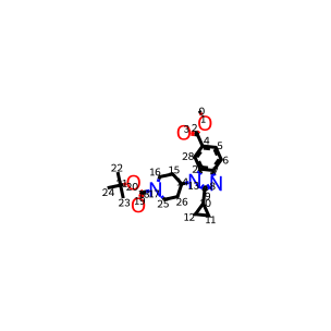 COC(=O)c1ccc2nc(C3CC3)n(C3CCN(C(=O)OC(C)(C)C)CC3)c2c1